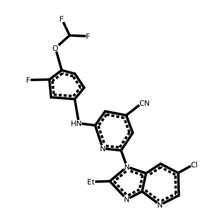 CCc1nc2ncc(Cl)cc2n1-c1cc(C#N)cc(Nc2ccc(OC(F)F)c(F)c2)n1